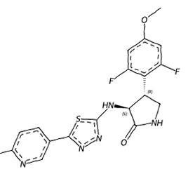 COc1cc(F)c([C@@H]2CNC(=O)[C@H]2Nc2nnc(-c3ccc(Cl)nc3)s2)c(F)c1